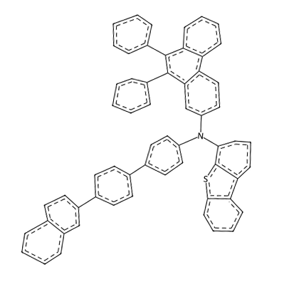 c1ccc(-c2c(-c3ccccc3)c3cc(N(c4ccc(-c5ccc(-c6ccc7ccccc7c6)cc5)cc4)c4cccc5c4sc4ccccc45)ccc3c3ccccc23)cc1